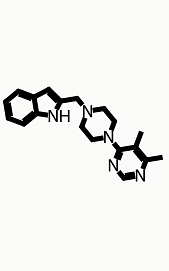 Cc1ncnc(N2CCN(Cc3cc4ccccc4[nH]3)CC2)c1C